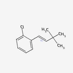 CC(C)(C)/C=C/c1ccccc1Cl